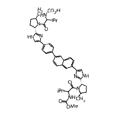 COC(=O)NC(C(=O)N1[C@H](C)CC[C@H]1c1nc(-c2ccc3cc(-c4ccc(-c5c[nH]c([C@@H]6CC[C@@H](C)N6C(=O)C(NC(=O)O)C(C)C)n5)cc4)ccc3c2)c[nH]1)C(C)C